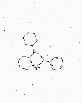 CC(=CP(C1CCCCC1)C1CCCCC1)c1ccccc1